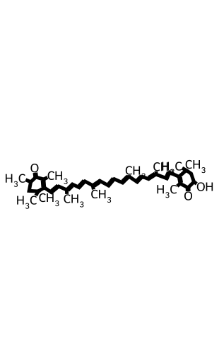 CC1=C(/C=C/C(C)=C/C=C/C(C)=C/C=C/C=C(C)/C=C/C=C(C)/C=C/C2=C(C)C(=O)C(O)CC2(C)C)C(C)(C)CC(C)C1=O